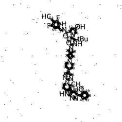 C#Cc1c(F)cc(CNC(=O)[C@@H]2C[C@@H](O)CN2C(=O)[C@@H](NC(=O)N2CC3(CC(N4CCC(c5cnc(N6CCc7[nH]c8nnc(-c9ccccc9O)cc8c7[C@H]6C)nc5)CC4)C3)C2)C(C)(C)C)cc1F